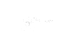 CNC1CCN(C(=O)[C@H](CC2CCCCC2)NC(=O)C2(c3ccc(C(F)(F)F)cc3F)CC2)CC1